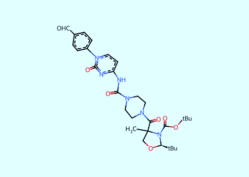 CC(C)(C)OC(=O)N1[C@@H](C(C)(C)C)OCC1(C)C(=O)N1CCN(C(=O)Nc2ccn(-c3ccc(C=O)cc3)c(=O)n2)CC1